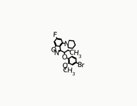 CCC(Oc1ccc(Br)cc1OC)c1noc2cc(F)cc(N3CCCCC3)c12